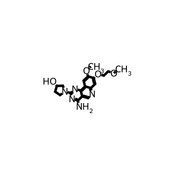 COCCOc1cc2ncc3c(N)nc(N4CCC(O)C4)nc3c2cc1OC